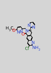 COc1ccc(CN2C(=O)c3cc4cc(Cl)c(N)nc4cc3C[C@@H]2c2ncccn2)nn1